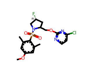 COc1cc(C)c(S(=O)(=O)N2C[C@H](F)CC2COc2nccc(Cl)n2)c(C)c1